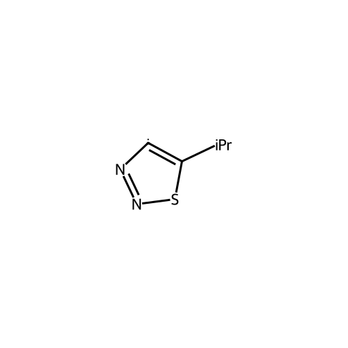 CC(C)c1[c]nns1